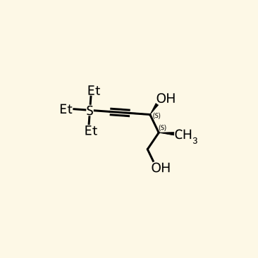 CCS(C#C[C@@H](O)[C@@H](C)CO)(CC)CC